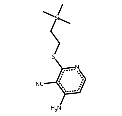 C[Si](C)(C)CCSc1nccc(N)c1C#N